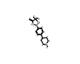 C=C1OB(c2ccc(C3CCN(C)CC3)cc2)OC1(C)C